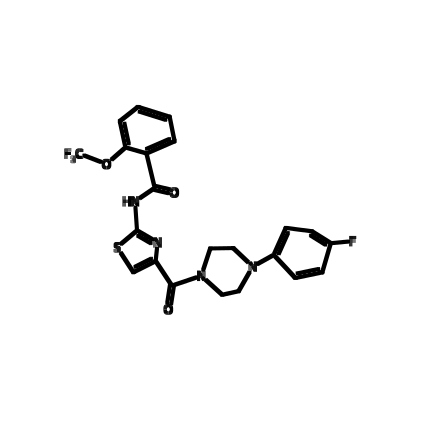 O=C(Nc1nc(C(=O)N2CCN(c3ccc(F)cc3)CC2)cs1)c1ccccc1OC(F)(F)F